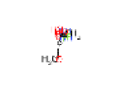 CC(=O)C#CC#Cc1ccc(C(=O)N[C@H](C(=O)NO)C(C)(O)C(F)F)cc1